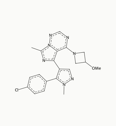 COC1CN(c2ncnn3c(C)nc(-c4cnn(C)c4-c4ccc(Cl)cc4)c23)C1